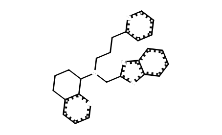 c1ccc(CCCN(Cc2nc3ccccc3[nH]2)C2CCCc3cccnc32)nc1